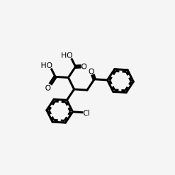 O=C(CC(c1ccccc1Cl)C(C(=O)O)C(=O)O)c1ccccc1